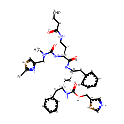 CC(C)c1nc(CN(C)C(=O)N[C@@H](CCNC(=O)CCC=O)C(=O)N[C@@H](CC[C@@H](Cc2ccccc2)NC(=O)OCc2cncs2)Cc2ccccc2)cs1